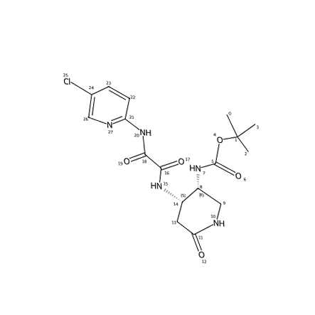 CC(C)(C)OC(=O)N[C@@H]1CNC(=O)C[C@@H]1NC(=O)C(=O)Nc1ccc(Cl)cn1